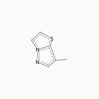 Cc1cnn2ccsc12